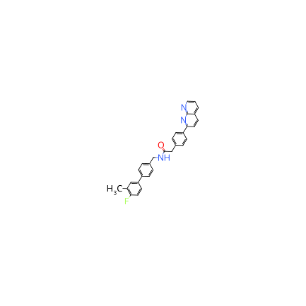 Cc1cc(-c2ccc(CNC(=O)Cc3ccc(-c4ccc5cccnc5n4)cc3)cc2)ccc1F